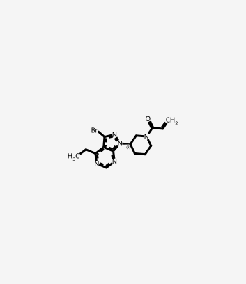 C=CC(=O)N1CCC[C@@H](n2nc(Br)c3c(CC)ncnc32)C1